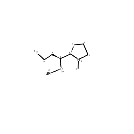 CN1CCC[C@H]1[C@H](CCF)OC(C)(C)C